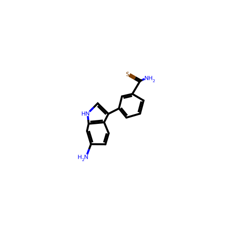 NC(=S)c1cccc(-c2c[nH]c3cc(N)ccc23)c1